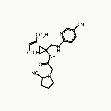 N#Cc1ccc(NCC2(NC(=O)CN3CCCC3C#N)CC2)nc1.O=C(O)C=CC(=O)O